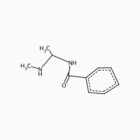 CNC(C)NC(=O)c1ccccc1